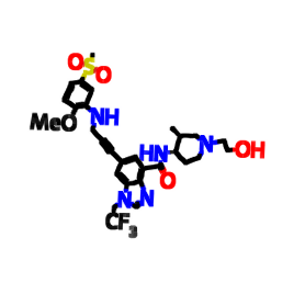 COc1ccc(S(C)(=O)=O)cc1NCC#Cc1cc(C(=O)N[C@H]2CCN(CCO)C[C@@H]2C)c2ncn(CC(F)(F)F)c2c1